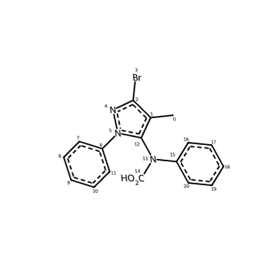 Cc1c(Br)nn(-c2ccccc2)c1N(C(=O)O)c1ccccc1